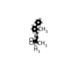 Cc1c(COCC2C(C)(C)C2(Cl)Cl)cccc1-c1ccccc1